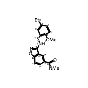 CCc1ccc(OC)c(SNc2noc3ccc(C(=O)NC)cc23)c1